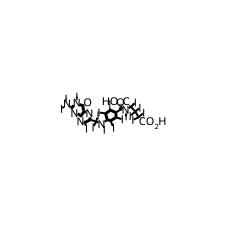 O=C(c1c(I)c(I)c(N(I)C(I)(I)c2nc3c(=O)n(I)c(N(I)I)nc3nc2I)c(I)c1I)N(I)[C@](I)(C(=O)O)C(I)(I)C(I)(I)C(=O)O